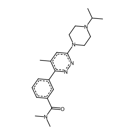 Cc1cc(N2CCN(C(C)C)CC2)nnc1-c1cccc(C(=O)N(C)C)c1